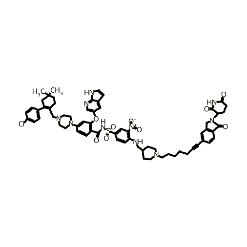 CC1(C)CCC(CN2CCN(c3ccc(C(=O)NS(=O)(=O)c4ccc(NCC5CCN(CCCCCC#Cc6ccc7c(c6)CN(C6CCC(=O)NC6=O)C7=O)CC5)c([N+](=O)[O-])c4)c(Oc4cnc5[nH]ccc5c4)c3)CC2)=C(c2ccc(Cl)cc2)C1